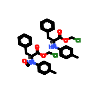 C=O.Cc1ccc(N[C@@H](Cc2ccccc2)C(=O)OCCl)cc1.Cc1ccc(N[C@@H](Cc2ccccc2)C(=O)OCCl)cc1